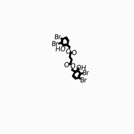 O=C(CCC(=O)OCc1ccc(Br)c(Br)c1O)OCc1ccc(Br)c(Br)c1O